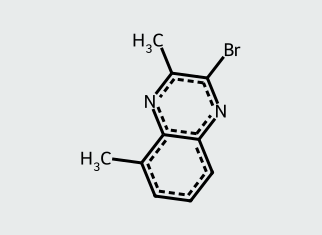 Cc1nc2c(C)cccc2nc1Br